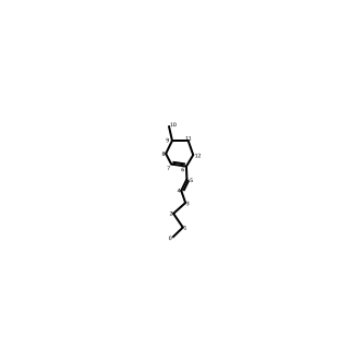 CCCCC=CC1=CCC(C)CC1